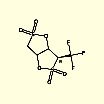 O=S1(=O)CC2OS(=O)(=O)[C@H](C(F)(F)F)C2O1